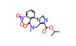 CC(C)OC(=O)c1ncn2c1CN(C)C(=O)c1c-2cccc1[N+](=O)[O-]